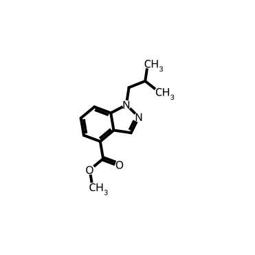 COC(=O)c1cccc2c1cnn2CC(C)C